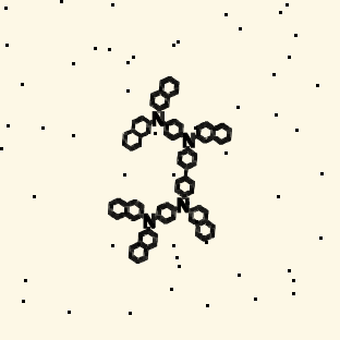 C1=CC2C=CC(N(c3ccc(N(c4ccc(-c5ccc(N(c6ccc(N(c7ccc8ccccc8c7)c7ccc8ccccc8c7)cc6)c6ccc7ccccc7c6)cc5)cc4)c4ccc5ccccc5c4)cc3)c3ccc4ccccc4c3)=CC2C=C1